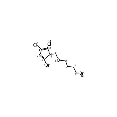 Clc1nc(Br)n(COCCCCBr)c1Cl